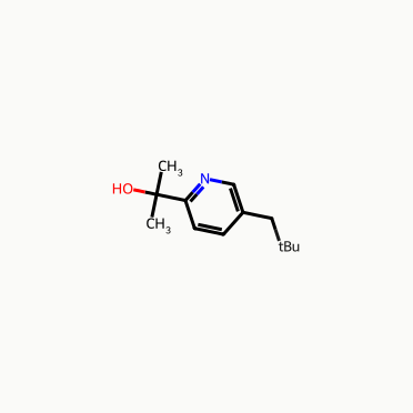 CC(C)(C)Cc1ccc(C(C)(C)O)nc1